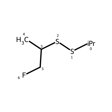 CC(C)SSC(C)CF